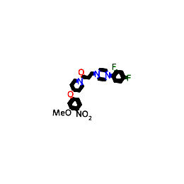 COc1cc(OC2CCN(C(=O)CCN3CCN(c4ccc(F)cc4F)CC3)CC2)ccc1[N+](=O)[O-]